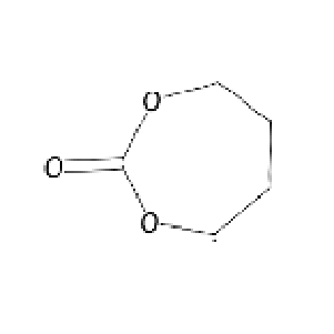 O=C1O[CH]CCCO1